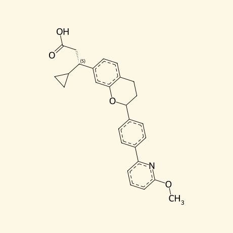 COc1cccc(-c2ccc(C3CCc4ccc([C@@H](CC(=O)O)C5CC5)cc4O3)cc2)n1